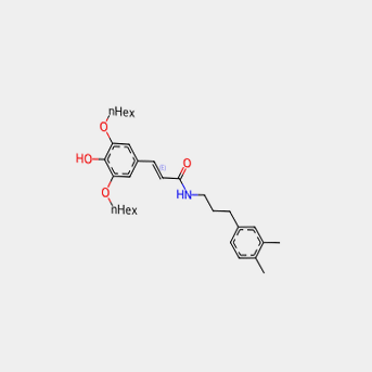 CCCCCCOc1cc(/C=C/C(=O)NCCCc2ccc(C)c(C)c2)cc(OCCCCCC)c1O